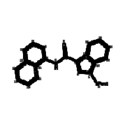 CCCCCn1cc(C(=O)Nc2cccc3ccccc23)c2ccccc21